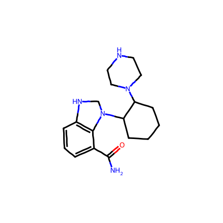 NC(=O)c1cccc2c1N(C1CCCCC1N1CCNCC1)CN2